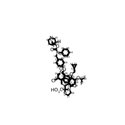 O=C(O[C@H]1CN2CCC1CC2)N(Cc1ccc(OCc2ccc(C(=O)N3CCS[C@]3(C(=O)O)[C@@H](Cc3c(Cl)c[n+]([O-])cc3Cl)c3ccc(OC(F)F)c(OCC4CC4)c3)cc2)cc1)c1ccccc1